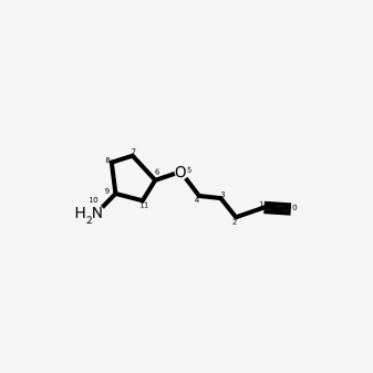 C#CCCCOC1CCC(N)C1